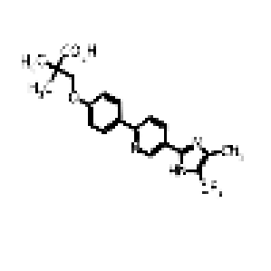 Cc1nc(-c2ccc(-c3ccc(OCC(C)(C)C(=O)O)cc3)nc2)[nH]c1C(F)(F)F